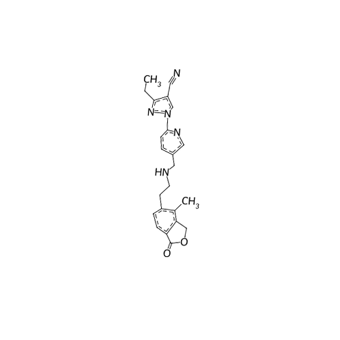 CCc1nn(-c2ccc(CNCCc3ccc4c(c3C)COC4=O)cn2)cc1C#N